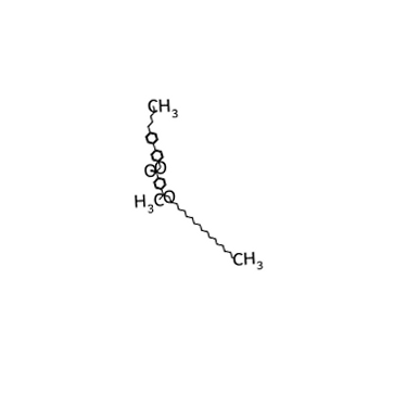 CCCCCCCCCCCCCCCCCCOC(C)c1ccc(C(=O)Oc2ccc(-c3ccc(CCCCC)cc3)cc2)cc1